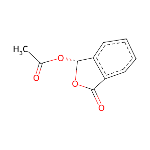 CC(=O)O[C@H]1OC(=O)c2ccccc21